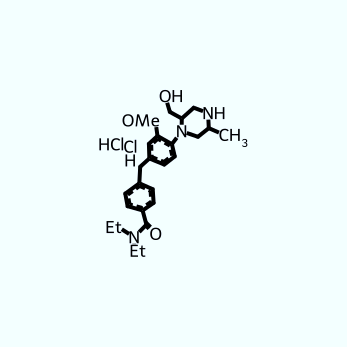 CCN(CC)C(=O)c1ccc(Cc2ccc(N3CC(C)NCC3CO)c(OC)c2)cc1.Cl.Cl